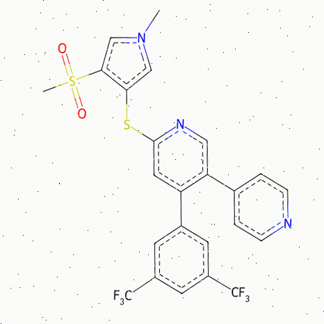 Cn1cc(Sc2cc(-c3cc(C(F)(F)F)cc(C(F)(F)F)c3)c(-c3ccncc3)cn2)c(S(C)(=O)=O)c1